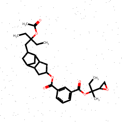 CCC(CC)(CC1CC2CC1C1CC(OC(=O)c3cccc(C(=O)OC(C)(CC)C4CO4)c3)CC21)OC(C)=O